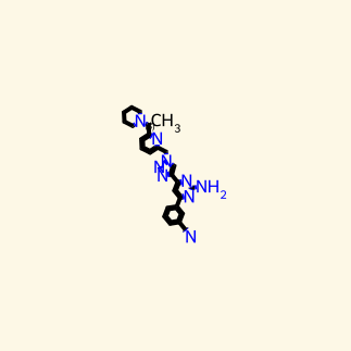 C[C@@H](c1cccc(Cn2cc(-c3cc(-c4cccc(C#N)c4)nc(N)n3)nn2)n1)N1CCCCC1